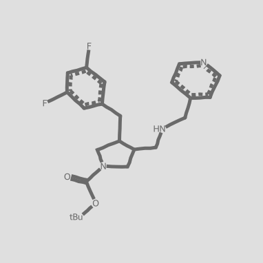 CC(C)(C)OC(=O)N1CC(CNCc2ccncc2)C(Cc2cc(F)cc(F)c2)C1